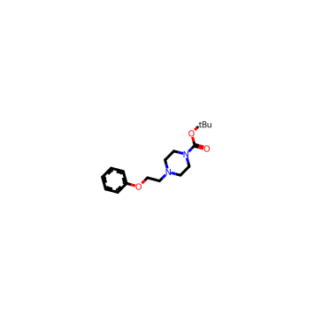 CC(C)(C)OC(=O)N1CCN(CCOc2ccccc2)CC1